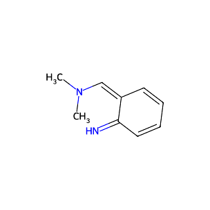 CN(C)/C=C1/C=CC=CC1=N